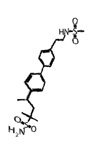 C[C@H](CC(C)(C)S(N)(=O)=O)c1ccc(-c2ccc(CCNS(C)(=O)=O)cc2)cc1